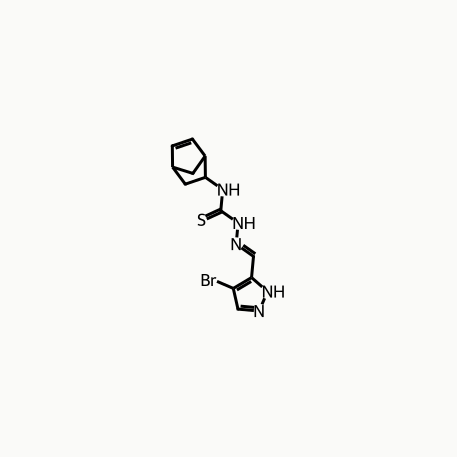 S=C(NN=Cc1[nH]ncc1Br)NC1CC2C=CC1C2